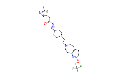 Cc1nnc(CC(=O)/N=C/C2CCC(CCN3CCc4ccc(OCC(C)(F)F)nc4CC3)CC2)s1